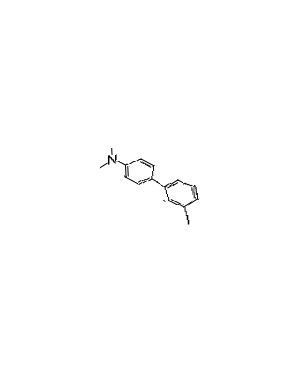 CN(C)c1ccc(-c2[c]c(I)ccc2)cc1